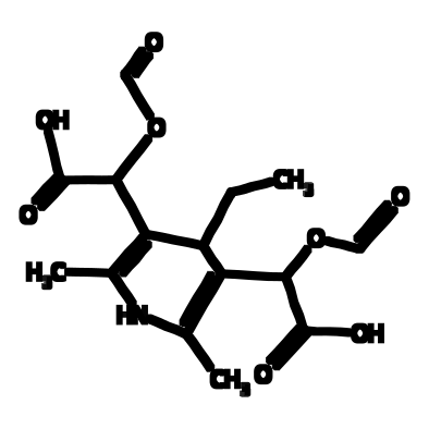 CCC1C(C(OC=O)C(=O)O)=C(C)NC(C)=C1C(OC=O)C(=O)O